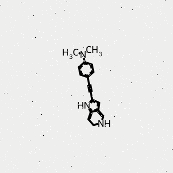 CN(C)c1ccc(C#Cc2cc3c([nH]2)=CCNC=3)cc1